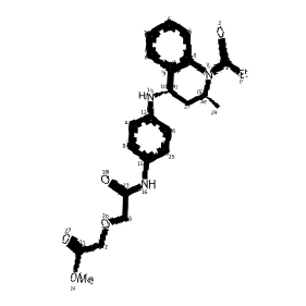 CCC(=O)N1c2ccccc2[C@H](Nc2ccc(NC(=O)COCC(=O)OC)cc2)C[C@@H]1C